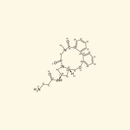 CN1CC(=O)N2C[C@H](NC(=O)CCN)C[C@H]2COc2ccccc2-c2ccccc2C1=O